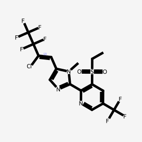 CCS(=O)(=O)c1cc(C(F)(F)F)cnc1-c1ncc(/C=C(\Cl)C(F)(F)C(F)(F)F)n1C